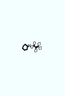 O=C(ON=C1CCCCC1)C(Cl)=C(Cl)Cl